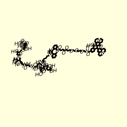 CC(C)(CCC(NC(=O)CCCCn1nnc2c1-c1ccccc1CN(C(=O)CCC(=O)C(=O)CCOCCOCCOCCNC(=O)c1ccc(C3=c4cc5c6c(c4Oc4c3cc3c7c4CCCN7CCC3)CCC[N+]=6CCC5)c(C(=O)O)c1)c1ccccc1-2)C(=O)NC(CC(=O)O)C(=O)NC(CC(=O)O)C(=O)O)SSCCC(=O)NCC#Cc1cn(C2CC(O)C(COP(=O)(O)OP(=O)(O)OP(=O)(O)O)O2)c2ncnc(N)c12